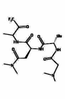 CC(NC(=O)[C@H](CC(=O)N(C)C)NC(=O)[C@@H](NC(=O)CN(C)C)C(C)(C)C)C(=O)C(F)(F)F